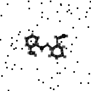 Cc1ccccc1OCc1ccccc1C=O